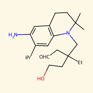 CCC(CC=O)(CCO)CN1c2cc(C(C)C)c(N)cc2CCC1(C)C